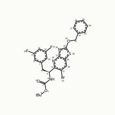 CC(C)(C)OC(=O)N[C@@H](Cc1cc(F)cc(F)c1)c1nc2nc(OCc3ccccc3)sc2cc1Br